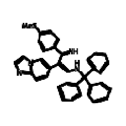 CSc1ccc(C(=N)/C(=C\NC(c2ccccc2)(c2ccccc2)c2ccccc2)c2ccc3nccn3c2)cc1